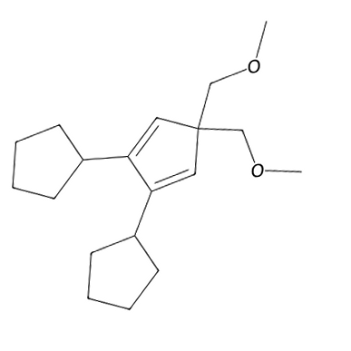 COCC1(COC)C=C(C2CCCC2)C(C2CCCC2)=C1